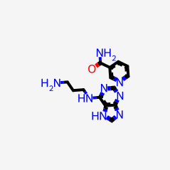 NC(=O)c1cccnc1.NCCCNc1ncnc2nc[nH]c12